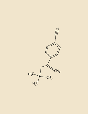 C=C(CC(C)(C)C)c1ccc(C#N)cc1